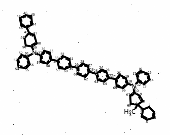 CC1(C2C=CC=CC2)C=CC(N(c2ccccc2)c2ccc(-c3ccc(-c4ccc(-c5ccc(-c6ccc(N(C7=CC=C(c8ccccc8)CC7)c7ccccc7)cc6)cc5)cc4)cc3)cc2)=CC1